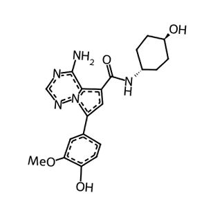 COc1cc(-c2cc(C(=O)N[C@H]3CC[C@H](O)CC3)c3c(N)ncnn23)ccc1O